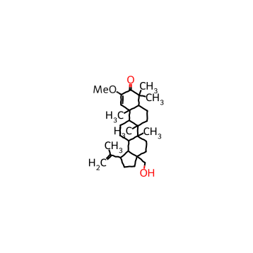 C=C(C)C1CCC2(CO)CCC3(C)C(CCC4C5(C)C=C(OC)C(=O)C(C)(C)C5CCC43C)C12